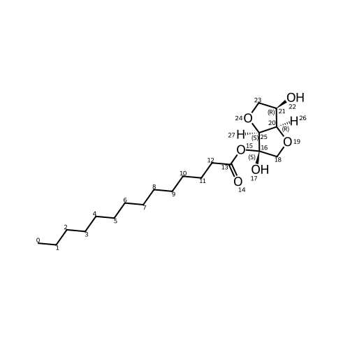 CCCCCCCCCCCCCC(=O)O[C@@]1(O)CO[C@@H]2[C@H](O)CO[C@@H]21